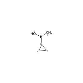 CB(O)C1CC1